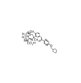 CC1(c2cc(C=C(F)c3cnc(OCC4CCCC4)cn3)ccc2F)CS(=O)(=O)C(C)(C)C(NC(=O)O)=N1